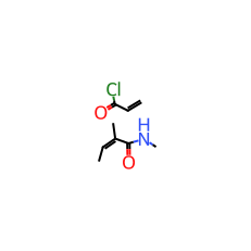 C=CC(=O)Cl.CC=C(C)C(=O)NC